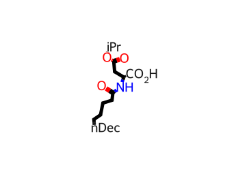 CCCCCCCCCCCCCCC(=O)N[C@@H](CC(=O)OC(C)C)C(=O)O